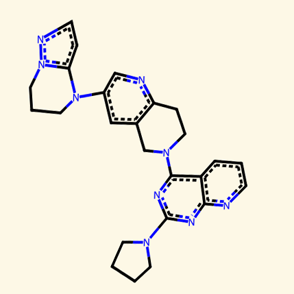 c1cnc2nc(N3CCCC3)nc(N3CCc4ncc(N5CCCn6nccc65)cc4C3)c2c1